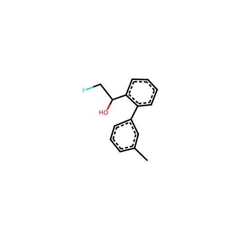 Cc1cccc(-c2ccccc2C(O)CF)c1